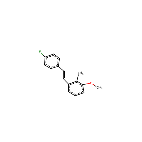 COc1cccc(/C=C/c2ccc(F)cc2)c1C